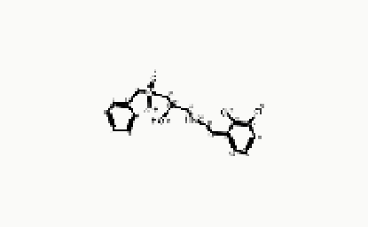 O=P(O)(Cc1ccccc1)C[C@H](O)CNCCc1cccc(Cl)c1Cl